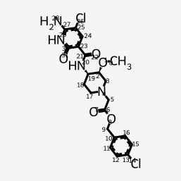 CO[C@H]1CN(CC(=O)OCc2ccc(Cl)cc2)CC[C@H]1NC(=O)c1cc(Cl)c(N)[nH]c1=O